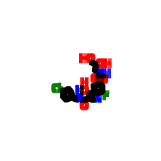 O=C(NCc1ccc(Cl)cc1)c1cnc2c(F)cc(S(=O)(=O)NCC(O)CO)cc2c1O